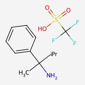 CC(C)C(C)(N)c1ccccc1.O=S(=O)(O)C(F)(F)F